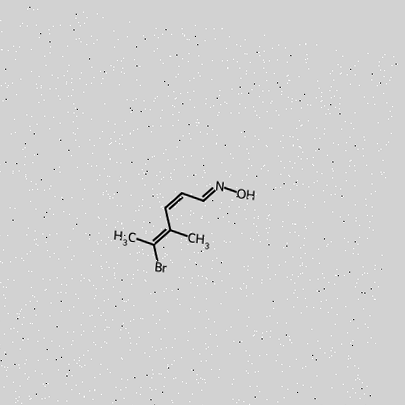 C\C(Br)=C(C)/C=C\C=N\O